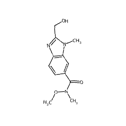 CON(C)C(=O)c1ccc2nc(CO)n(C)c2c1